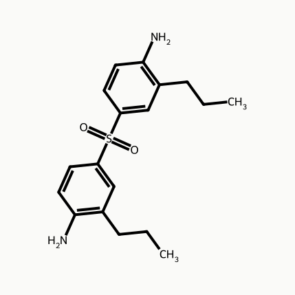 CCCc1cc(S(=O)(=O)c2ccc(N)c(CCC)c2)ccc1N